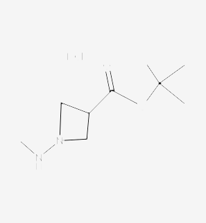 CNN1CC(C(=O)OC(C)(C)C)C1.Cl